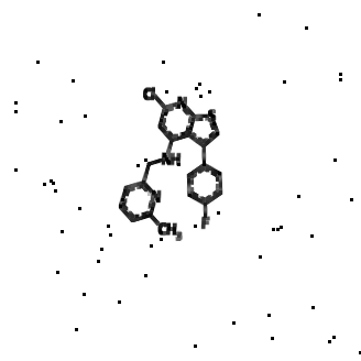 Cc1cccc(CNc2cc(Cl)nc3scc(-c4ccc(F)cc4)c23)n1